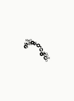 COc1cc2nn(C3CCC(CN4CCN(c5cccc6c5oc(=O)n6C5CCC(=O)NC5=O)CC4)CC3)cc2cc1C(=O)Nc1cnc2cccnn12